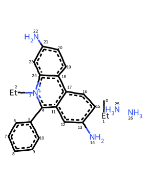 CCC.CC[n+]1c(-c2ccccc2)c2cc(N)ccc2c2ccc(N)cc21.N.N